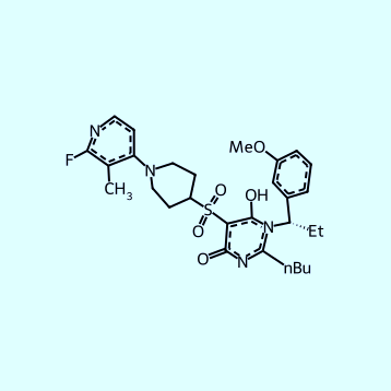 CCCCc1nc(=O)c(S(=O)(=O)C2CCN(c3ccnc(F)c3C)CC2)c(O)n1[C@@H](CC)c1cccc(OC)c1